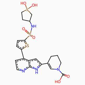 O=C(O)N1C=C(c2cc3c(-c4ccc(S(=O)(=O)NC5CCS(O)(O)C5)s4)ccnc3[nH]2)CCC1